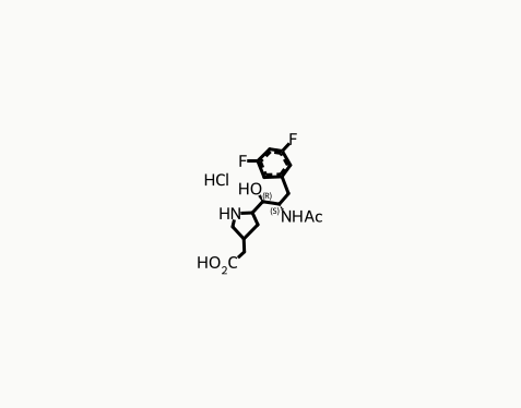 CC(=O)N[C@@H](Cc1cc(F)cc(F)c1)[C@H](O)C1CC(CC(=O)O)CN1.Cl